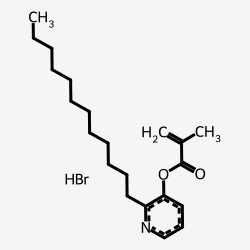 Br.C=C(C)C(=O)Oc1cccnc1CCCCCCCCCCCC